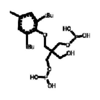 Cc1cc(C(C)(C)C)c(OCC(CO)(COP(O)O)COP(O)O)c(C(C)(C)C)c1